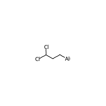 [Al][CH2]CC(Cl)Cl